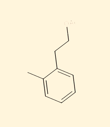 CC(=O)OCCc1ccccc1C